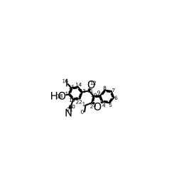 CCc1oc2ccccc2c1C(=O)c1cc(I)c(O)c(C#N)c1